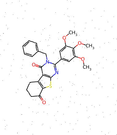 COc1cc(-c2nc3sc4c(c3c(=O)n2Cc2ccccc2)CCCC4=O)cc(OC)c1OC